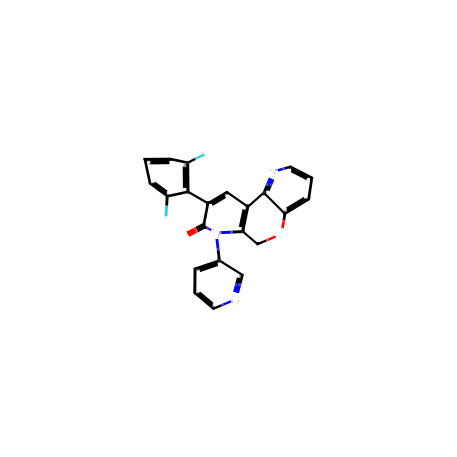 O=c1c(-c2c(F)cccc2F)cc2c(n1-c1cccnc1)COc1cccnc1-2